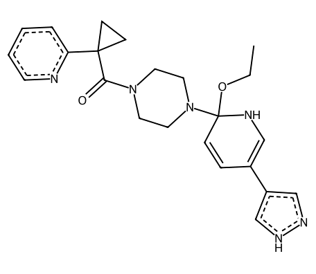 CCOC1(N2CCN(C(=O)C3(c4ccccn4)CC3)CC2)C=CC(c2cn[nH]c2)=CN1